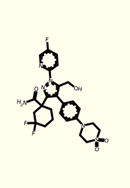 NC(=O)C1(c2nn(-c3ccc(F)cn3)c(CO)c2-c2ccc(N3CCS(=O)(=O)CC3)cc2)CCCC(F)(F)C1